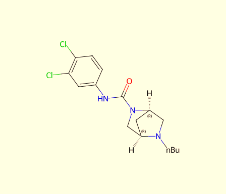 CCCCN1C[C@H]2C[C@@H]1CN2C(=O)Nc1ccc(Cl)c(Cl)c1